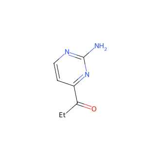 CCC(=O)c1ccnc(N)n1